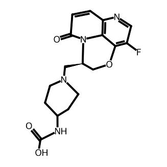 O=C(O)NC1CCN(C[C@@H]2COc3c(F)cnc4ccc(=O)n2c34)CC1